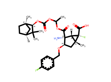 CC(OC(=O)O[C@H]1C(C)(C)[C@H]2CC[C@]1(C)C2)OC(=O)[C@]1(N)[C@H](OCc2ccc(F)cc2)C[C@]2(C)[C@H]1[C@@]2(F)C(=O)O